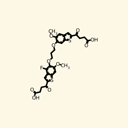 COc1cc2cc(C(=O)CCC(=O)O)sc2cc1OCCCOc1c(OC)cc2sc(C(=O)CCC(=O)O)cc2c1F